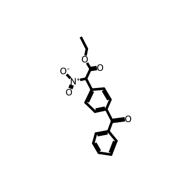 CCOC(=O)C(c1ccc(C(=O)c2ccccc2)cc1)[N+](=O)[O-]